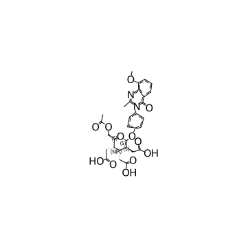 COc1cccc2c(=O)n(-c3ccc(O[C@@H]4O[C@H](COC(C)=O)[C@@H](CC(=O)O)[C@@H](CC(=O)O)[C@@H]4CC(=O)O)cc3)c(C)nc12